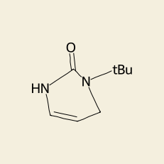 CC(C)(C)N1CC=CNC1=O